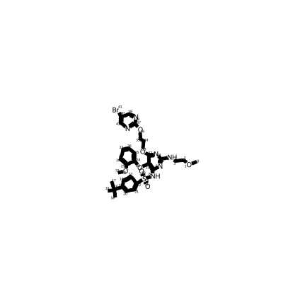 COCCNc1nc(NS(=O)(=O)c2ccc(C(C)(C)C)cc2)c(Oc2ccccc2OC)c(OCCOc2ncc(Br)cn2)n1